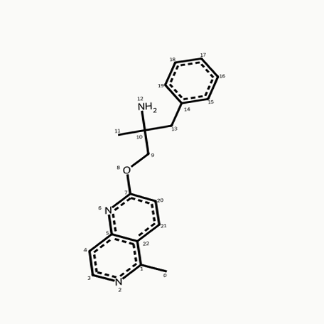 Cc1nccc2nc(OCC(C)(N)Cc3ccccc3)ccc12